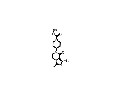 CCc1nc(C)n2c1C(=O)N(C1CCN(C(=O)OC(C)(C)C)CC1)CC2